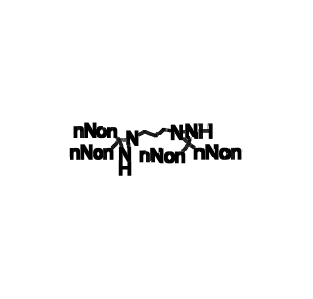 CCCCCCCCCC1(CCCCCCCCC)NN1CCCN1NC1(CCCCCCCCC)CCCCCCCCC